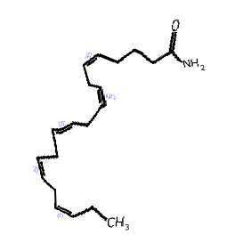 CC/C=C\C/C=C\C/C=C\C/C=C\C/C=C\CCCC(N)=O